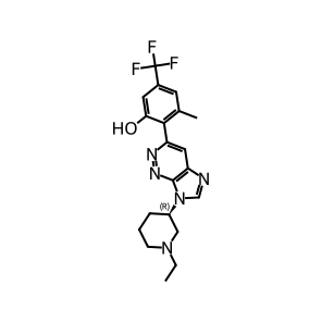 CCN1CCC[C@@H](n2cnc3cc(-c4c(C)cc(C(F)(F)F)cc4O)nnc32)C1